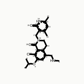 CNCc1cc(OC(C)C)c(Cl)c2c1CCN(Cc1c(C)cc(C)[nH]c1=O)C2=O